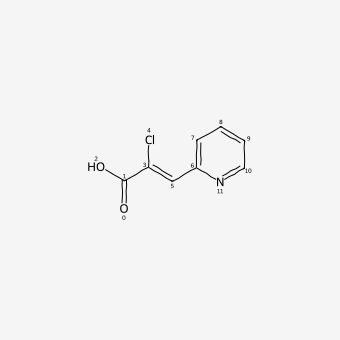 O=C(O)C(Cl)=Cc1ccccn1